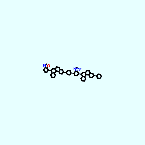 Cn1cnc2c(-c3ccc(-c4ccc5c(ccc6cc(-c7cccc8ncoc78)c7ccccc7c65)c4)cc3)ccc(-c3cc4ccc5cc(-c6ccccc6)ccc5c4c4ccccc34)c21